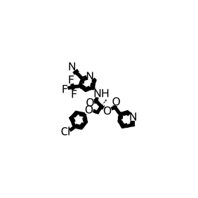 C[C@@](COc1ccc(Cl)cc1)(OC(=O)c1cccnc1)C(=O)Nc1cnc(C#N)c(C(F)(F)F)c1